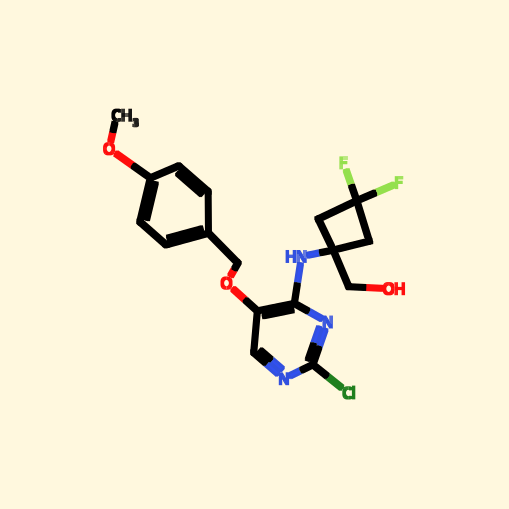 COc1ccc(COc2cnc(Cl)nc2NC2(CO)CC(F)(F)C2)cc1